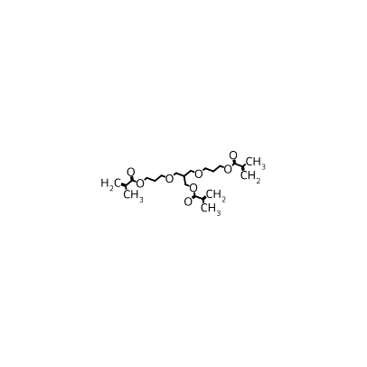 C=C(C)C(=O)OCCCOCC(COCCCOC(=O)C(=C)C)COC(=O)C(=C)C